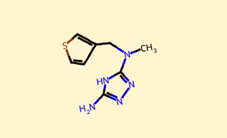 CN(Cc1ccsc1)c1nnc(N)[nH]1